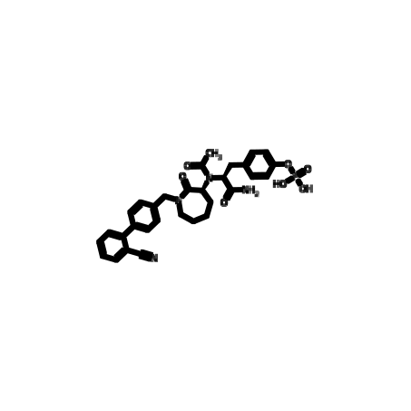 CC(=O)N([C@@H](Cc1ccc(OP(=O)(O)O)cc1)C(N)=O)[C@H]1CCCCN(Cc2ccc(-c3ccccc3C#N)cc2)C1=O